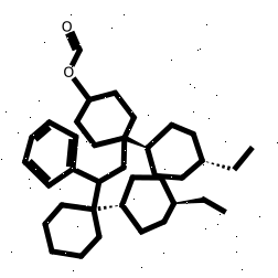 CC[C@H]1CC[C@H](C2(CC(c3ccccc3)C3([C@H]4CC[C@H](CC)CC4)CCCCC3)CCC(OC=O)CC2)CC1